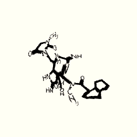 CN1CC(=O)N(CC2NC(=N)N3CC(N(C)C(=O)c4cccc5c4CCCC5)C(O)(O)C34NC(=N)NC24)C1=O